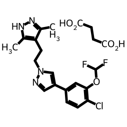 Cc1n[nH]c(C)c1CCn1cc(-c2ccc(Cl)c(OC(F)F)c2)cn1.O=C(O)CCC(=O)O